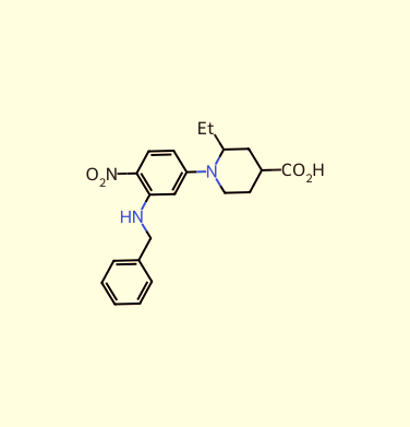 CCC1CC(C(=O)O)CCN1c1ccc([N+](=O)[O-])c(NCc2ccccc2)c1